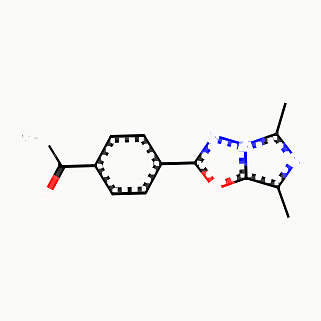 COC(=O)c1ccc(-c2nn3c(C)nc(C)c3o2)cc1